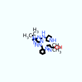 CC(C)n1cnc2c(NCc3ccccc3-n3ccc(C(C)(C)O)n3)nc(NC3CCNCC3)nc21